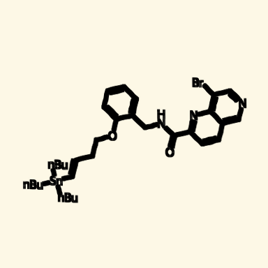 CCC[CH2][Sn](/[CH]=C/CCOc1ccccc1CNC(=O)c1ccc2cncc(Br)c2n1)([CH2]CCC)[CH2]CCC